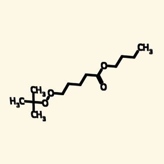 CCCCOC(=O)CCCCOOC(C)(C)C